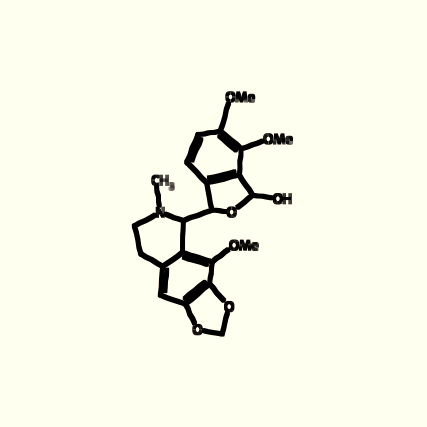 COc1ccc2c(c1OC)C(O)OC2C1c2c(cc3c(c2OC)OCO3)CCN1C